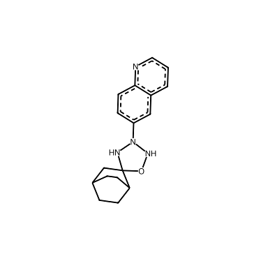 c1cnc2ccc(N3NOC4(CC5CCC4CC5)N3)cc2c1